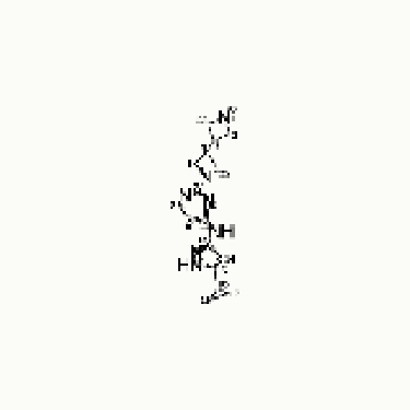 CN1CC(C2CN(c3nccc(Nc4cc(C5CC5)[nH]n4)n3)C2)C1